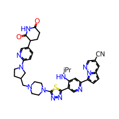 CC(C)Nc1cc(-c2ccc3cc(C#N)cnn23)ncc1-c1nnc(N2CCN(CC3CCN(c4ccc(C5CCC(=O)NC5=O)cn4)C3)CC2)s1